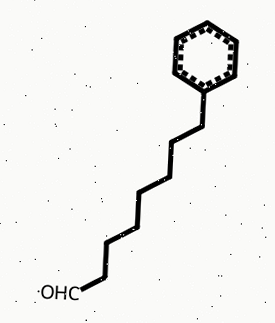 O=[C]CCCCCCCc1ccccc1